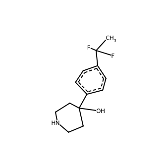 CC(F)(F)c1ccc(C2(O)CCNCC2)cc1